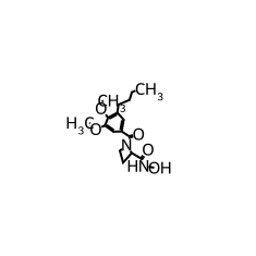 CCCCc1cc(C(=O)N2CCC2C(=O)NO)cc(OC)c1OC